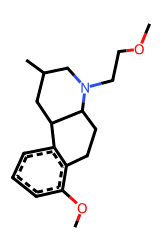 COCCN1CC(C)CC2c3cccc(OC)c3CCC21